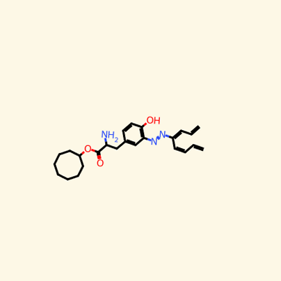 C=C\C=C/C(=C\C=C)/N=N/c1cc(CC(N)C(=O)OC2CCCCCCC2)ccc1O